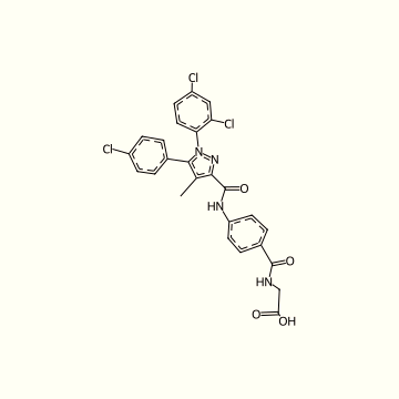 Cc1c(C(=O)Nc2ccc(C(=O)NCC(=O)O)cc2)nn(-c2ccc(Cl)cc2Cl)c1-c1ccc(Cl)cc1